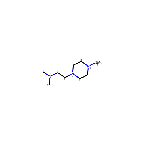 CSN1CCN(CCN(C)C)CC1